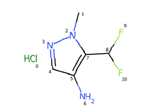 Cl.Cn1ncc(N)c1C(F)F